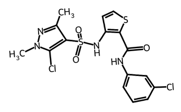 Cc1nn(C)c(Cl)c1S(=O)(=O)Nc1ccsc1C(=O)Nc1cccc(Cl)c1